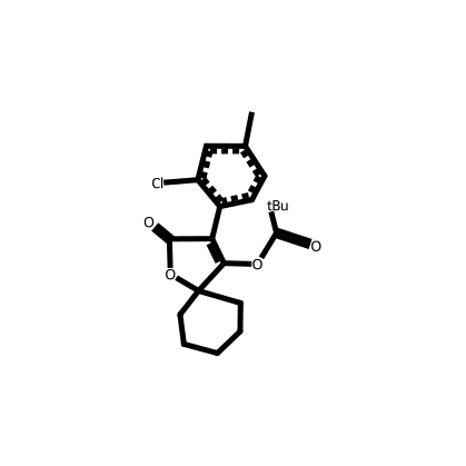 Cc1ccc(C2=C(OC(=O)C(C)(C)C)C3(CCCCC3)OC2=O)c(Cl)c1